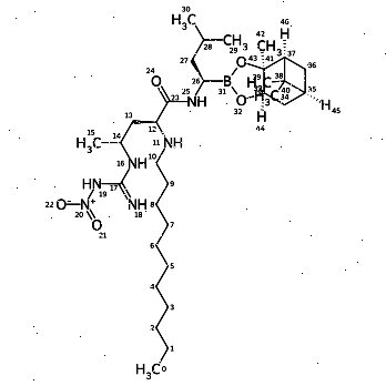 CCCCCCCCCCCN[C@@H](CC(C)NC(=N)N[N+](=O)[O-])C(=O)N[C@@H](CC(C)C)B1O[C@@H]2C[C@@H]3C[C@@H](C3(C)C)[C@]2(C)O1